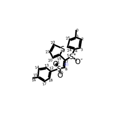 Cc1ccc([S+]([O-])/C(=C/S(=O)(=O)c2ccc(C)cc2)c2cccs2)cc1